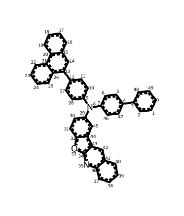 c1ccc(-c2ccc(N(c3ccc(-c4cc5ccccc5c5ccccc45)cc3)c3ccc4oc5nc6ccccc6cc5c4c3)cc2)cc1